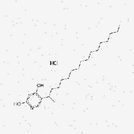 CCCCCCCCCCCCCCCC(C)c1cnc(O)cc1O.Cl